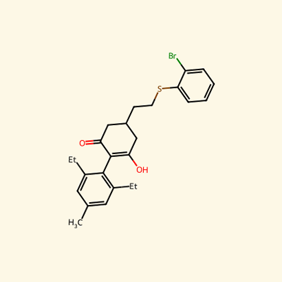 CCc1cc(C)cc(CC)c1C1=C(O)CC(CCSc2ccccc2Br)CC1=O